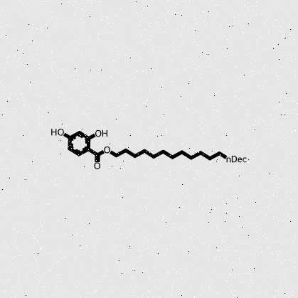 CCCCCCCCCCCCCCCCCCCCCCOC(=O)c1ccc(O)cc1O